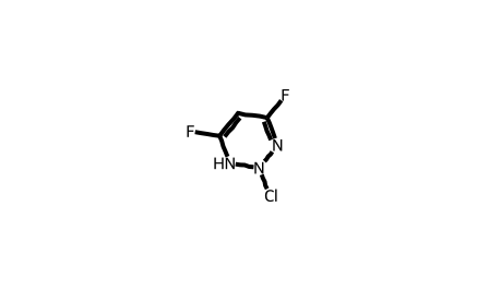 FC1=CC(F)=NN(Cl)N1